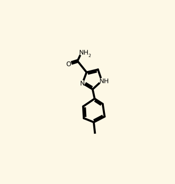 Cc1ccc(-c2nc(C(N)=O)c[nH]2)cc1